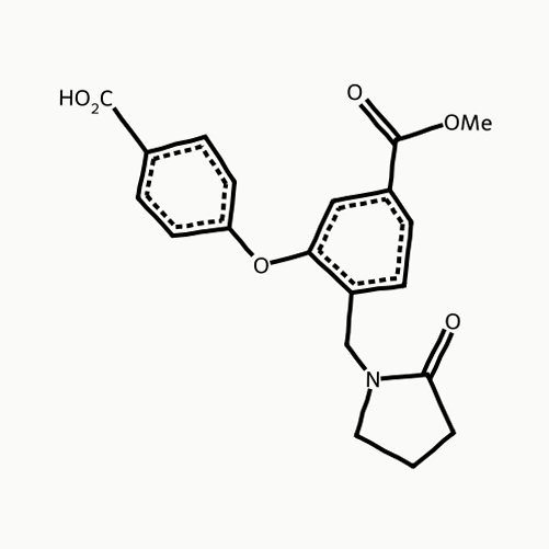 COC(=O)c1ccc(CN2CCCC2=O)c(Oc2ccc(C(=O)O)cc2)c1